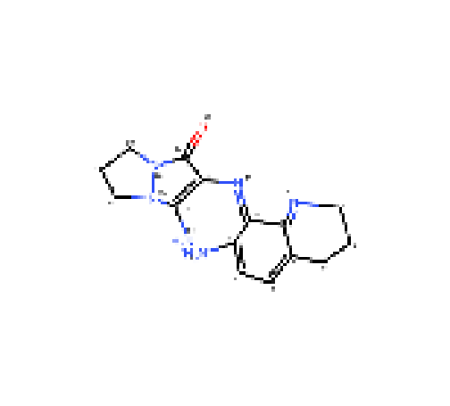 NC1=CC=C2CCCN=C2C1=Nc1c(N)n2n(c1=O)CCC2